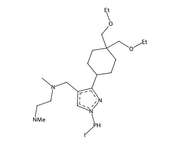 CCOCC1(COCC)CCC(c2nn(PI)cc2CN(C)CCNC)CC1